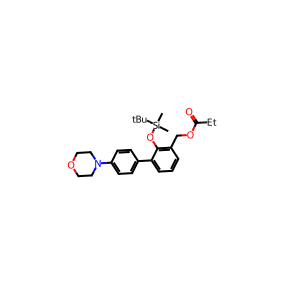 CCC(=O)OCc1cccc(-c2ccc(N3CCOCC3)cc2)c1O[Si](C)(C)C(C)(C)C